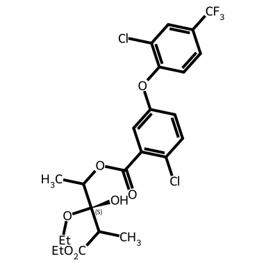 CCOC(=O)C(C)[C@](O)(OCC)C(C)OC(=O)c1cc(Oc2ccc(C(F)(F)F)cc2Cl)ccc1Cl